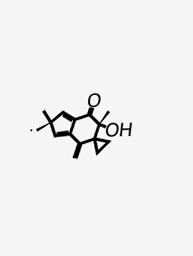 [CH2][C@]1(C)C=C2C(=C)C3(CC3)[C@@](C)(O)C(=O)C2=C1